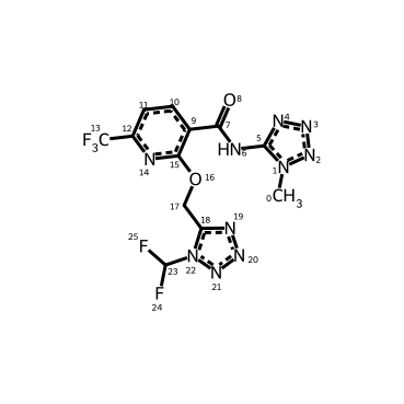 Cn1nnnc1NC(=O)c1ccc(C(F)(F)F)nc1OCc1nnnn1C(F)F